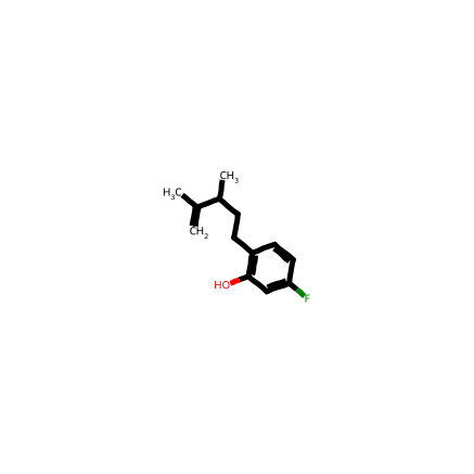 C=C(C)C(C)CCc1ccc(F)cc1O